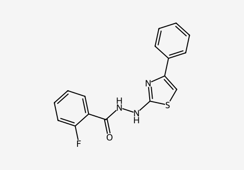 O=C(NNc1nc(-c2ccccc2)cs1)c1ccccc1F